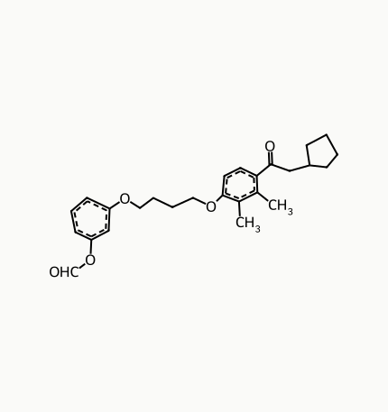 Cc1c(OCCCCOc2cccc(OC=O)c2)ccc(C(=O)CC2CCCC2)c1C